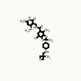 CSc1cc(C)[nH]c(=O)c1CNC(=O)c1cc(Cl)c2c(c1C)OC(C)([C@H]1CC[C@@H](NCC3(C)COC3)CC1)O2